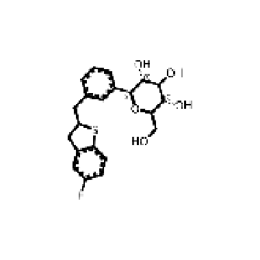 OCC1O[C@@H](c2cccc(CC3Cc4cc(F)ccc4S3)c2)[C@H](O)C(O)[C@@H]1O